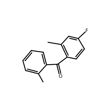 Cc1ccccc1C(=O)c1ccc(F)cc1C